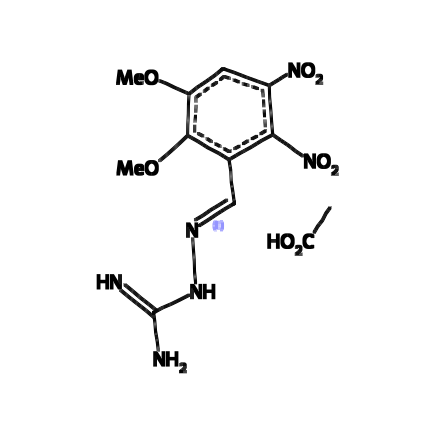 CC(=O)O.COc1cc([N+](=O)[O-])c([N+](=O)[O-])c(/C=N/NC(=N)N)c1OC